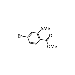 COC(=O)c1ccc(Br)cc1SC